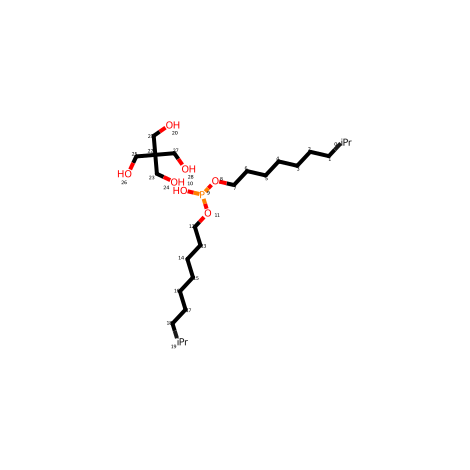 CC(C)CCCCCCCOP(O)OCCCCCCCC(C)C.OCC(CO)(CO)CO